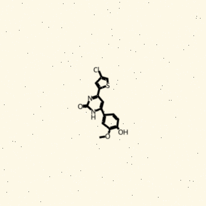 COc1cc(-c2cc(-c3cc(Cl)cs3)nc(=O)[nH]2)ccc1O